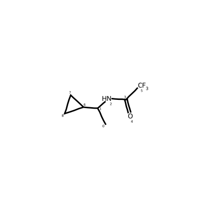 CC(NC(=O)C(F)(F)F)C1CC1